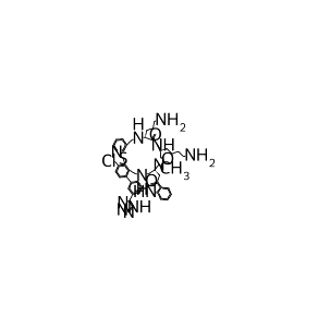 CN1C(=O)[C@H](CCCCN)NC(=O)[C@H](CCCN)NCc2cccnc2Sc2c(Cl)ccc(-c3cccc(-c4nnn[nH]4)c3)c2CNC(=O)[C@@H]1Cc1c[nH]c2ccccc12